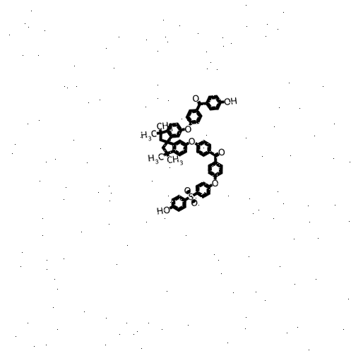 CC1(C)CC2(CC(C)(C)c3ccc(Oc4ccc(C(=O)c5ccc(Oc6ccc(S(=O)(=O)c7ccc(O)cc7)cc6)cc5)cc4)cc32)c2cc(Oc3ccc(C(=O)c4ccc(O)cc4)cc3)ccc21